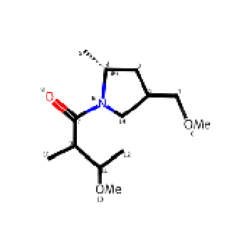 COCC1C[C@@H](C)N(C(=O)C(C)C(C)OC)C1